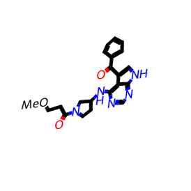 COCCC(=O)N1CCC(Nc2ncnc3[nH]cc(C(=O)c4ccccc4)c23)C1